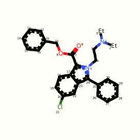 CCN(CC)CCn1c(C(=O)OCc2ccccc2)c2ccc(Cl)cc2c1-c1ccccc1